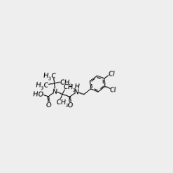 CC(C)(C)N(C(=O)O)C(C)(C)C(=O)NCc1ccc(Cl)c(Cl)c1